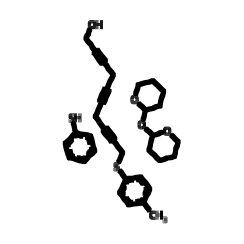 C1CCC(OC2CCCCO2)OC1.Cc1ccc(SCC#CCC#CCC#CCO)cc1.Sc1ccccc1